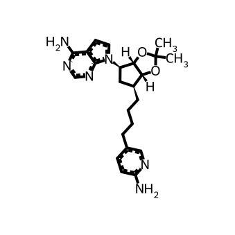 CC1(C)O[C@@H]2[C@@H](CCCCc3ccc(N)nc3)C[C@@H](n3ccc4c(N)ncnc43)[C@@H]2O1